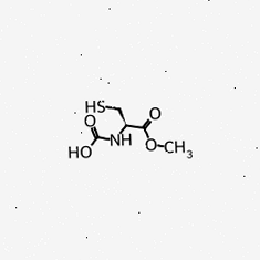 COC(=O)[C@H](CS)NC(=O)O